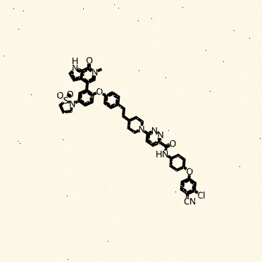 Cn1cc(-c2cc(N3CCCS3(=O)=O)ccc2Oc2ccc(CCC3CCN(c4ccc(C(=O)NC5CCC(Oc6ccc(C#N)c(Cl)c6)CC5)nn4)CC3)cc2)c2cc[nH]c2c1=O